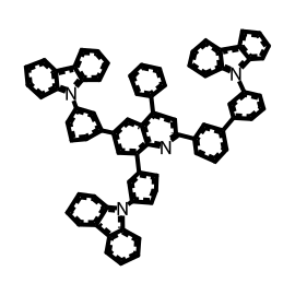 c1ccc(-c2cc(-c3cccc(-c4cccc(-n5c6ccccc6c6ccccc65)c4)c3)nc3c(-c4cccc(-n5c6ccccc6c6ccccc65)c4)cc(-c4cccc(-n5c6ccccc6c6ccccc65)c4)cc23)cc1